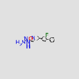 CN=C(N)Nc1cc(CC(C)c2ccc(-c3ccccc3)c(F)c2)no1